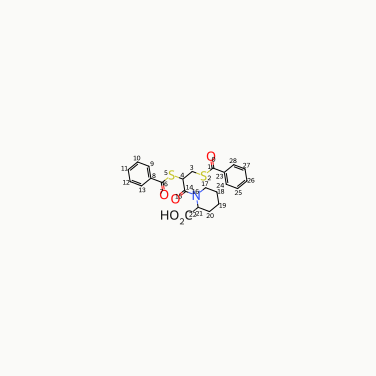 O=C(SCC(SC(=O)c1ccccc1)C(=O)N1CCCCC1C(=O)O)c1ccccc1